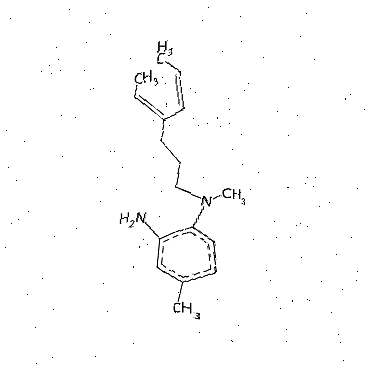 C/C=C\C(=C/C)CCCN(C)c1ccc(C)cc1N